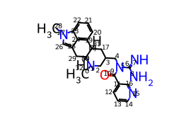 CN1CC(CN(C(=N)N)C(=O)c2cccnc2)C[C@@H]2c3cccc4c3c(cn4C)C[C@H]21